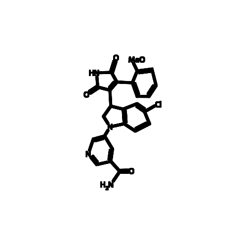 COc1ccccc1C1=C(C2CN(c3cncc(C(N)=O)c3)c3ccc(Cl)cc32)C(=O)NC1=O